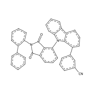 N#Cc1cccc(-c2cccc3c4ccccc4n(-c4cccc5c4C(=O)N(c4ccccc4-c4ccccc4)C5=O)c23)c1